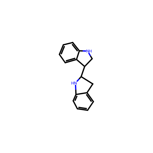 c1ccc2c(c1)CC(C1CNc3ccccc31)N2